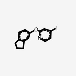 Ic1ccnc(Oc2ccc3c(c2)CCC3)c1